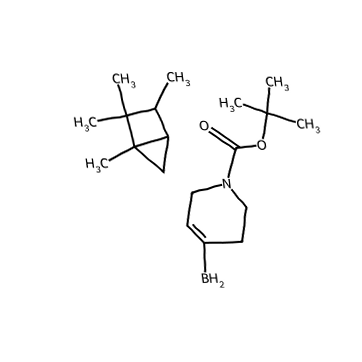 BC1=CCN(C(=O)OC(C)(C)C)CC1.CC1C2CC2(C)C1(C)C